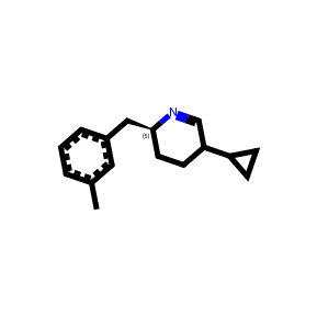 Cc1cccc(C[C@@H]2CCC(C3CC3)C=N2)c1